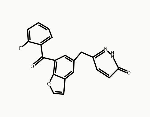 O=C(c1ccccc1F)c1cc(Cc2ccc(=O)[nH]n2)cc2ccoc12